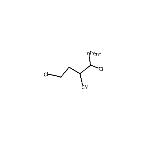 CCCCCC(Cl)C(C#N)CCCl